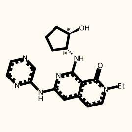 CCn1ccc2cc(Nc3cnccn3)nc(N[C@@H]3CCC[C@H]3O)c2c1=O